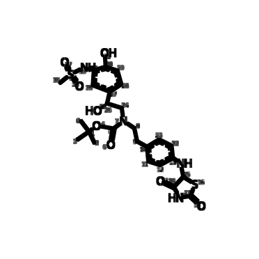 CC(C)(C)OC(=O)N(CCc1ccc(NC2SC(=O)NC2=O)cc1)C[C@H](O)c1ccc(O)c(NS(C)(=O)=O)c1